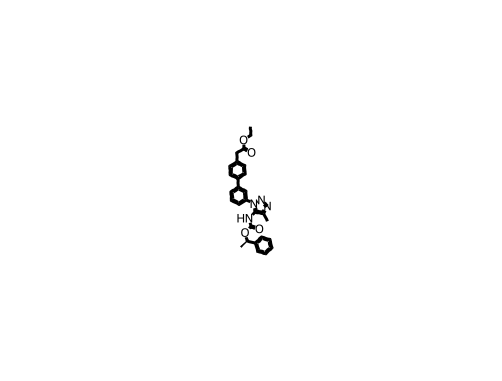 CCOC(=O)Cc1ccc(-c2cccc(-n3nnc(C)c3NC(=O)O[C@H](C)c3ccccc3)c2)cc1